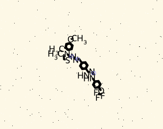 COc1ccc(N2/C(=N/N=C/c3ccc(C(=N)/N=C\Nc4ccc(OC(F)(F)F)cc4)cc3)SCC2C)c(C)c1